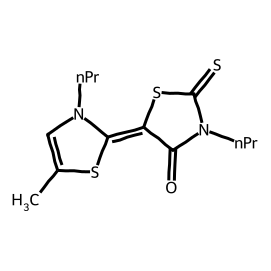 CCCN1C=C(C)SC1=C1SC(=S)N(CCC)C1=O